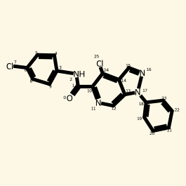 O=C(Nc1ccc(Cl)cc1)c1ncc2c(cnn2-c2ccccc2)c1Cl